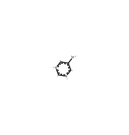 [2H]c1cncnc1